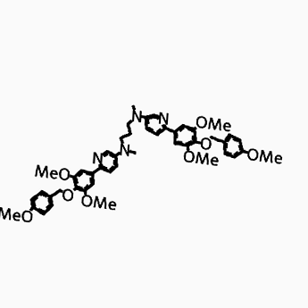 COc1ccc(COc2c(OC)cc(-c3ccc(N(C)CCCN(C)c4ccc(-c5cc(OC)c(OCc6ccc(OC)cc6)c(OC)c5)nc4)cn3)cc2OC)cc1